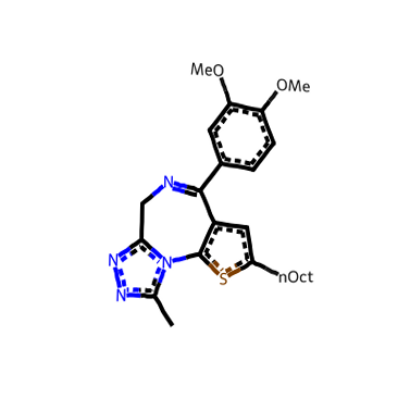 CCCCCCCCc1cc2c(s1)-n1c(C)nnc1CN=C2c1ccc(OC)c(OC)c1